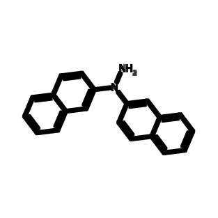 NN(c1ccc2ccccc2c1)c1ccc2ccccc2c1